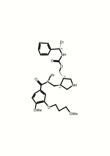 CC[C@H](NC(=O)OC[C@@H]1CNC[C@H]1CN(C(=O)c1ccc(OC)c(OCCCOC)c1)C(C)C)c1ccccc1